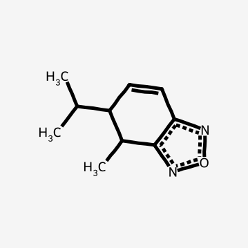 CC(C)C1C=Cc2nonc2C1C